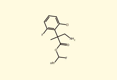 CCCC(F)OC(=O)C(C)(CN)c1c(F)cccc1Cl